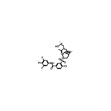 CC(=O)N(C[C@@H](C)O)C[C@@]1(O)C2C[C@@H](S(=O)(=O)c3cc(C(=O)Nc4cc(F)c(F)c(F)c4)ccc3Cl)CC1[C@@H](C)C2